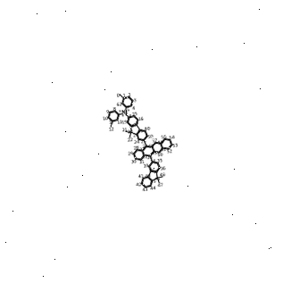 Cc1cccc(N(c2cccc(C)c2)c2ccc3c(c2)C(C)(C)c2cc(-c4c5ccccc5c(-c5ccc6c(c5)-c5ccccc5C6(C)C)c5cc6ccccc6cc45)ccc2-3)c1